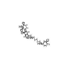 Cc1ccc(NCCCCCNCc2scc3c2CN(C2CCC(=O)NC2=O)C3=O)cc1Cl